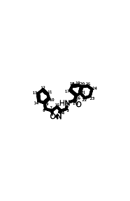 O=C(NCC1=NOC(Cc2ccccc2)C1)c1cccc2c1CCCC2